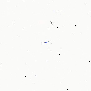 NC(=O)[C@H]1CCC[C@H]1Nc1nc(Cl)ncc1F